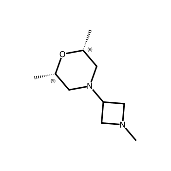 C[C@@H]1CN(C2CN(C)C2)C[C@H](C)O1